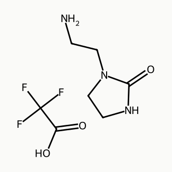 NCCN1CCNC1=O.O=C(O)C(F)(F)F